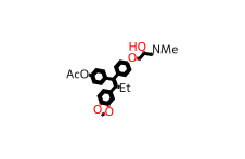 CCC(=C(c1ccc(OCC(O)CNC)cc1)c1ccc(OC(C)=O)cc1)c1ccc2c(c1)OCO2